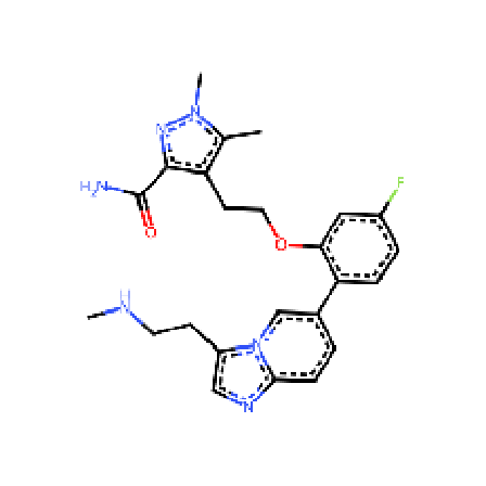 CNCCc1cnc2ccc(-c3ccc(F)cc3OCCc3c(C(N)=O)nn(C)c3C)cn12